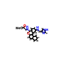 COC(=O)CNC(=O)c1ccc(NCc2c[nH]cn2)cc1-c1cccc2ccccc12